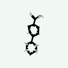 NC(=O)c1ccc(-c2nncnn2)cc1